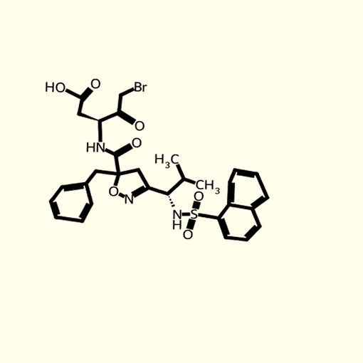 CC(C)[C@H](NS(=O)(=O)c1cccc2ccccc12)C1=NOC(Cc2ccccc2)(C(=O)N[C@@H](CC(=O)O)C(=O)CBr)C1